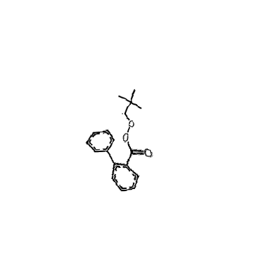 CC(C)(C)[CH]OOC(=O)c1ccccc1-c1ccccc1